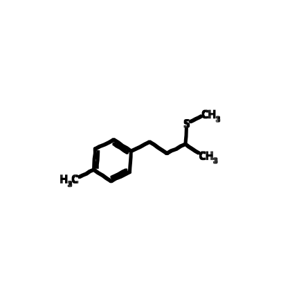 CSC(C)CCc1ccc(C)cc1